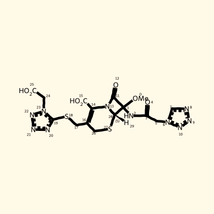 COC1(NC(=O)Cn2cnnn2)C(=O)N2C(C(=O)O)=C(CSc3nnnn3CC(=O)O)CS[C@H]21